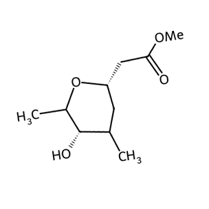 COC(=O)C[C@@H]1CC(C)[C@H](O)C(C)O1